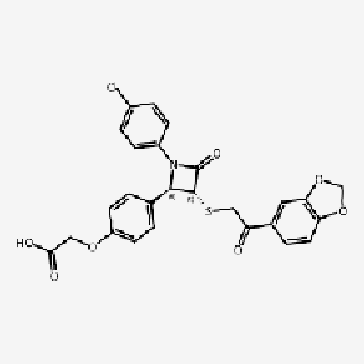 O=C(O)COc1ccc([C@@H]2[C@@H](SCC(=O)c3ccc4c(c3)OCO4)C(=O)N2c2ccc(Cl)cc2)cc1